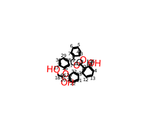 O=C(Oc1ccccc1C(=O)O)c1ccccc1O.OCCO.c1ccc(Oc2ccccc2)cc1